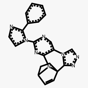 C1=CC23CCC1N2c1nc(-n2ccnc2-c2ccccc2)ncc1-n1cnnc13